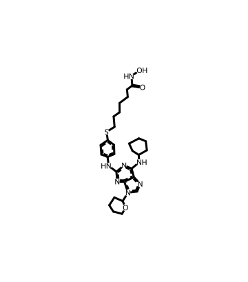 O=C(CCCCCCSc1ccc(Nc2nc(NC3CCCCC3)c3ncn(C4CCCCO4)c3n2)cc1)NO